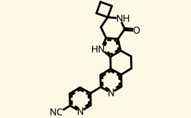 N#Cc1ccc(-c2cc3c(cn2)CCc2c-3[nH]c3c2C(=O)NC2(CCC2)C3)cn1